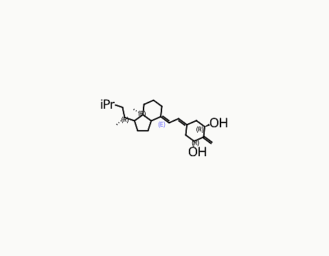 C=C1[C@H](O)CC(=C/C=C2\CCC[C@@]3(C)C2CCC3[C@H](C)CC(C)C)C[C@H]1O